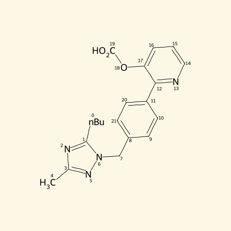 CCCCc1nc(C)nn1Cc1ccc(-c2ncccc2OC(=O)O)cc1